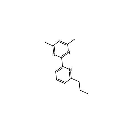 CCCc1cccc(-c2nc(C)cc(C)n2)n1